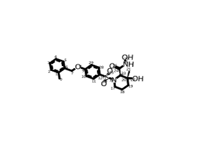 Cc1ccccc1COc1ccc(S(=O)(=O)N2CCC[C@@](C)(O)[C@@H]2C(=O)NO)cc1